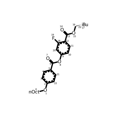 CCCCCCCCOc1ccc(C(=O)Oc2ccc(C(=O)OC[C@@H](C)CC)c(F)c2)cc1